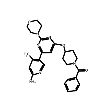 Nc1cc(C(F)(F)F)c(-c2cc(OC3CCN(C(=O)c4ccccc4)CC3)nc(N3CCOCC3)n2)cn1